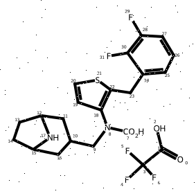 O=C(O)C(F)(F)F.O=C(O)N(CC1CC2CCC(C1)N2)c1ccsc1Cc1cccc(F)c1F